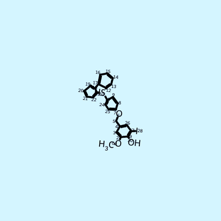 COc1cc(COc2ccc([SH]3c4ccccc4-c4ccccc43)cc2)cc(I)c1O